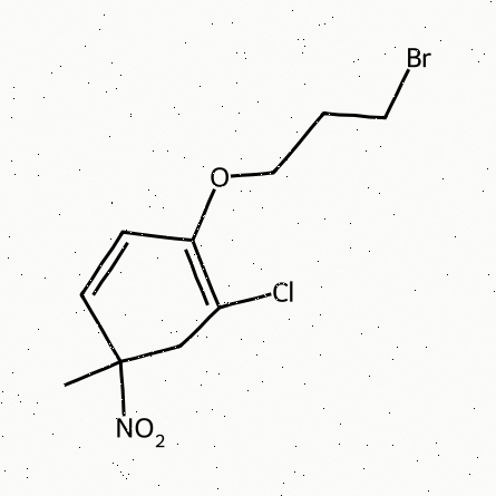 CC1([N+](=O)[O-])C=CC(OCCCBr)=C(Cl)C1